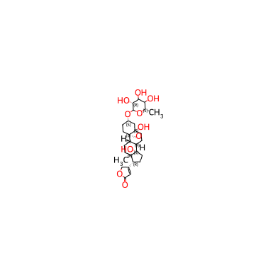 C[C@@H]1OC(O[C@H]2CC[C@]3(C=O)[C@H]4CC[C@]5(C)[C@@H](C6=CC(=O)OC6)CC[C@]5(O)[C@@H]4CC[C@]3(O)C2)[C@H](O)C(O)C1O